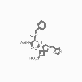 CNC(=O)[C@@H](NC(=O)[C@@H]1CN(Cc2cnco2)CC12CN(C(=O)O)C2)[C@@H](C)OCc1ccccc1